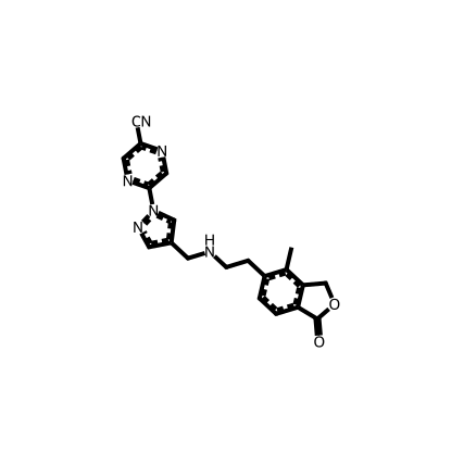 Cc1c(CCNCc2cnn(-c3cnc(C#N)cn3)c2)ccc2c1COC2=O